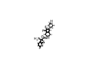 Cc1ccc2c(N)c(C(=O)N[C@@H]3CCc4cc(N5CCNCC5)c(F)c(F)c4C3)sc2n1